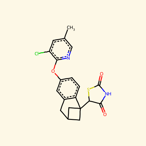 Cc1cnc(Oc2ccc3c(c2)CC2CC3(C3SC(=O)NC3=O)C2)c(Cl)c1